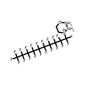 FC(F)(F)C(F)(F)C(F)(F)C(F)(F)C(F)(F)C(F)(F)C(F)(F)C(F)(F)C(F)(F)C(F)(F)[SiH]1CCO[SiH2][SiH2]1